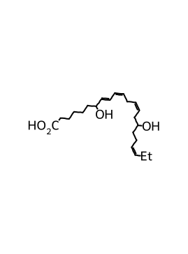 CC/C=C\CCC(O)C/C=C\C/C=C\C=C\C(O)CCCCCC(=O)O